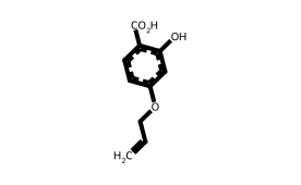 C=CCOc1ccc(C(=O)O)c(O)c1